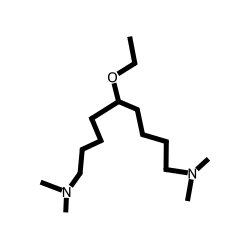 CCOC(CCCCN(C)C)CCCCN(C)C